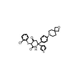 O=C1CC(c2ccc(N3CCC4(CC3)COC4)cc2)(c2ccsc2)NC(=O)C1Sc1ccccc1Cl